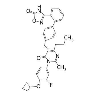 CCCc1nc(C)n(-c2ccc(OC3CCC3)c(F)c2)c(=O)c1Cc1ccc(-c2ccccc2-c2noc(=O)[nH]2)cc1